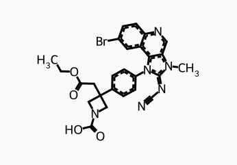 CCOC(=O)CC1(c2ccc(-n3/c(=N\C#N)n(C)c4cnc5ccc(Br)cc5c43)cc2)CN(C(=O)O)C1